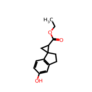 CCOC(=O)C1CC12CCc1cc(O)ccc12